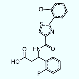 O=C(O)CC(NC(=O)c1csc(-c2ccccc2Cl)n1)c1ccccc1F